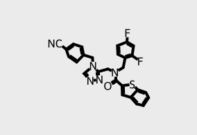 N#Cc1ccc(Cn2cnnc2CN(Cc2ccc(F)cc2F)C(=O)c2cc3ccccc3s2)cc1